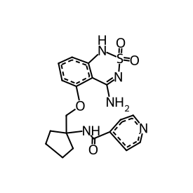 NC1=NS(=O)(=O)Nc2cccc(OCC3(NC(=O)c4ccncc4)CCCC3)c21